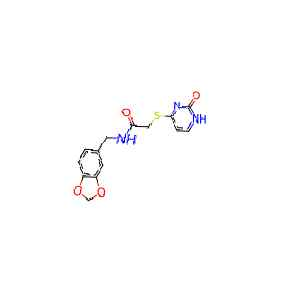 O=C(CSc1cc[nH]c(=O)n1)NCc1ccc2c(c1)OCO2